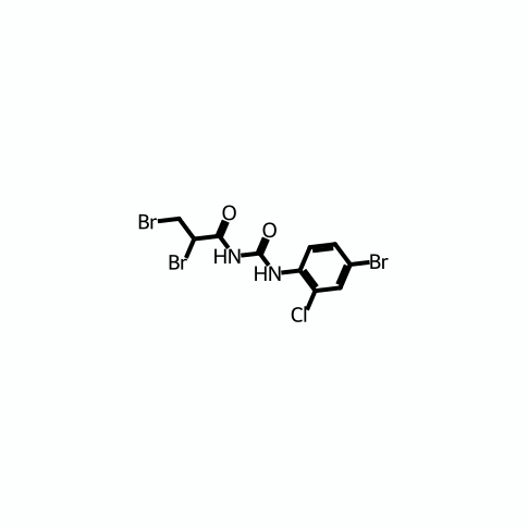 O=C(NC(=O)C(Br)CBr)Nc1ccc(Br)cc1Cl